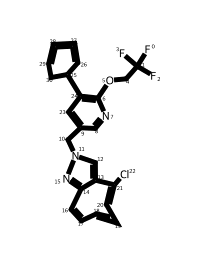 FC(F)(F)COc1ncc(Cn2cc3c(n2)\C=C/C=C/C=C/3Cl)cc1C1C=C=C=CC1